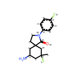 CC1(F)CC(N)CC2(CCN(c3ccc(F)cc3)C2=O)C1